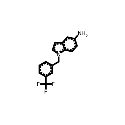 Nc1ccc2c(ccn2Cc2cccc(C(F)(F)F)c2)c1